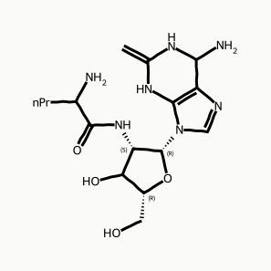 C=C1Nc2c(ncn2[C@@H]2O[C@H](CO)C(O)[C@@H]2NC(=O)C(N)CCC)C(N)N1